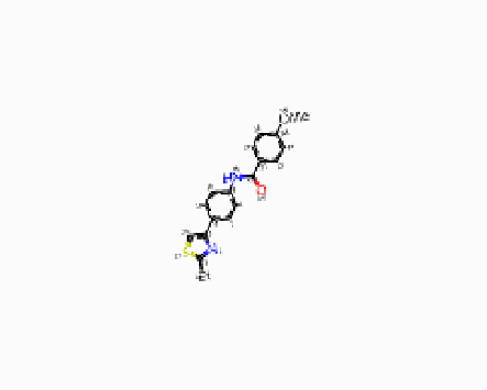 CCc1nc(-c2ccc(NC(=O)c3ccc(OC)cc3)cc2)cs1